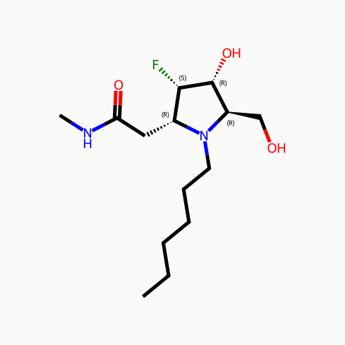 CCCCCCN1[C@H](CO)[C@@H](O)[C@@H](F)[C@H]1CC(=O)NC